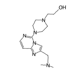 CN(C)Cc1cn2c(N3CCN(CCO)CC3)nccc2n1